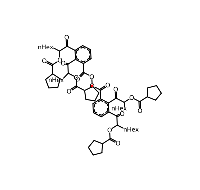 CCCCCCC(OC(=O)C1CCCC1)C(=O)c1cccc(C(=O)OOC(=O)c2cccc(C(=O)C(CCCCCC)OC(=O)C3CCCC3)c2C(=O)C(CCCCCC)OC(=O)C2CCCC2)c1C(=O)C(CCCCCC)OC(=O)C1CCCC1